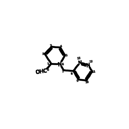 O=CC1C=CC=CN1Cc1cccnn1